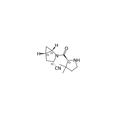 CC1(C)CCN[C@@H]1C(=O)N1[C@H](C#N)C[C@@H]2C[C@@H]21